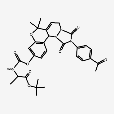 CC(=O)c1ccc(-n2c(=O)n3n(c2=O)C2C(=CC3)C(C)(C)Oc3cc(OC(=O)N(C)C(C)C(=O)OC(C)(C)C)ccc32)cc1